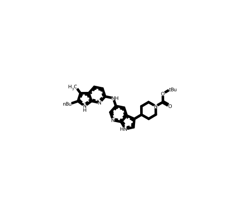 CCCCc1[nH]c2nc(Nc3cnc4[nH]cc(C5CCN(C(=O)OC(C)(C)C)CC5)c4c3)ccc2c1C